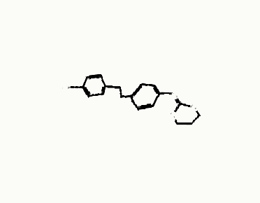 Clc1ccc(CCc2ccc(N=C3NCCCN3)cc2)cc1